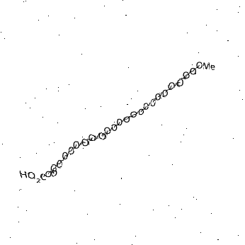 COCCOCCOCCOCCOCCOCCOCCOCCOCCOCCOCCOCCOCCOCCOCCOCCOCCOCCOCCOCCOCCOCCOC(=O)COCC(=O)O